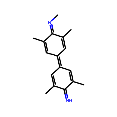 CN=C1C(C)=CC(=C2C=C(C)C(=N)C(C)=C2)C=C1C